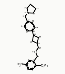 COc1ccc([N+](=O)[O-])cc1COCC1CC(c2ccc(CN3CCCC3)cc2)C1